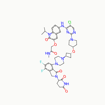 CNC(=O)COc1cc2cc(Nc3nc(N4CCC(O[C@H]5C[C@H](N6CCN(c7cc(F)c(F)c8c7C(=O)N(C7CCC(=O)NC7=O)C8)CC6)C5)CC4)ncc3Cl)ccc2n(C(C)C)c1=O